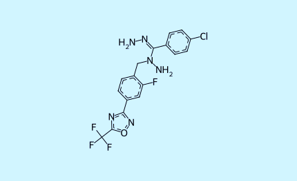 N/N=C(/c1ccc(Cl)cc1)N(N)Cc1ccc(-c2noc(C(F)(F)F)n2)cc1F